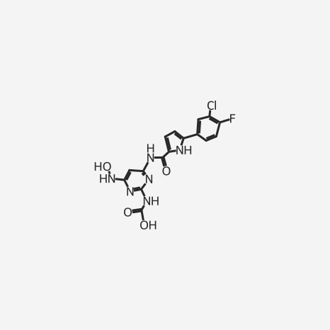 O=C(O)Nc1nc(NO)cc(NC(=O)c2ccc(-c3ccc(F)c(Cl)c3)[nH]2)n1